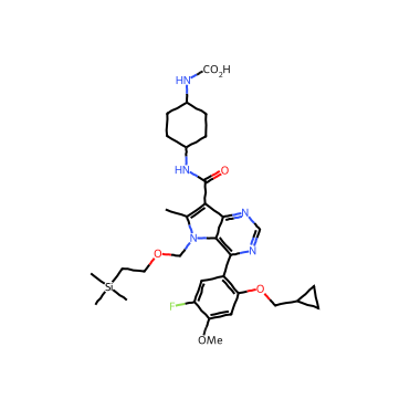 COc1cc(OCC2CC2)c(-c2ncnc3c(C(=O)NC4CCC(NC(=O)O)CC4)c(C)n(COCC[Si](C)(C)C)c23)cc1F